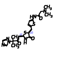 CN(C)CC(=O)Nc1ccc(/C=c2\s/c(=C/C(=O)C(C)(C)n3cncn3)[nH]c2=O)s1